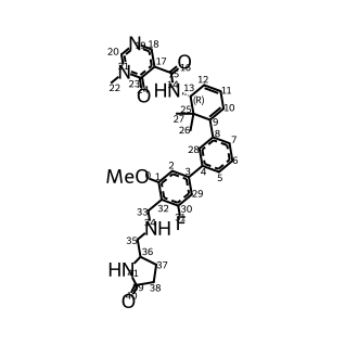 COc1cc(-c2cccc(C3=CC=C[C@@H](NC(=O)c4cncn(C)c4=O)C3(C)C)c2)cc(F)c1CNCC1CCC(=O)N1